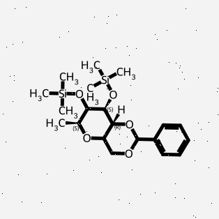 C[C@@H]1OC2COC(c3ccccc3)O[C@H]2[C@H](O[Si](C)(C)C)C1O[Si](C)(C)C